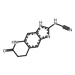 N#CNc1nc2cc3c(cc2[nH]1)NC(=O)CC3